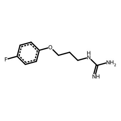 N=C(N)NCCCOc1ccc(F)cc1